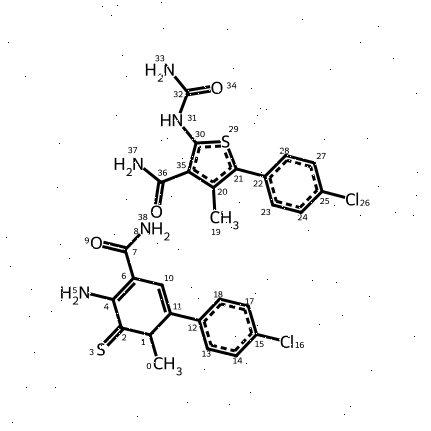 CC1C(=S)C(N)=C(C(N)=O)C=C1c1ccc(Cl)cc1.Cc1c(-c2ccc(Cl)cc2)sc(NC(N)=O)c1C(N)=O